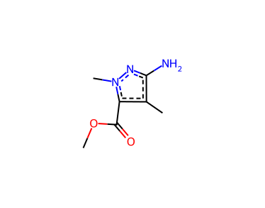 COC(=O)c1c(C)c(N)nn1C